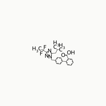 CC(C)Cc1nc(C(C)(F)F)nn1Cc1ccc(-c2ccccc2C(=O)O)cc1